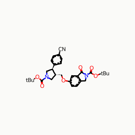 CC(C)(C)OC(=O)N1C[C@@H](COc2ccc3c(c2)C(=O)N(C(=O)OC(C)(C)C)C3)[C@H](c2ccc(C#N)cc2)C1